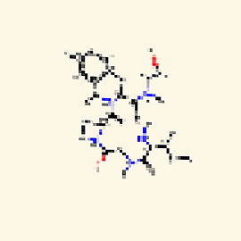 C=C(C(NC)C(C)CC)N(C)CC(=O)N1CC[C@H]1C(=C)N(CC)C(Cc1ccc(C)cc1)C(=C)N(C)CC=O